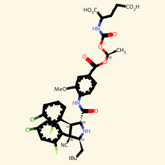 COc1cc(C(=O)O[C@H](C)OC(=O)NC(CCC(=O)O)C(=O)O)ccc1NC(=O)[C@@H]1N[C@@H](CC(C)(C)C)[C@](C#N)(c2ccc(Cl)cc2F)[C@H]1c1cccc(Cl)c1F